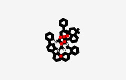 CC1(C)CCC(C)(C)c2c(-c3ccc(-n4c5ccccc5c5ccc6c7ccccc7n(-c7nc(-c8ccc(-c9ccccc9)cc8)nc(-c8ccccc8-c8ccccc8)n7)c6c54)cc3)cccc21